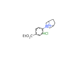 CCOC(=O)c1ccc(N2CC3CCC(C2)N3)cc1.Cl